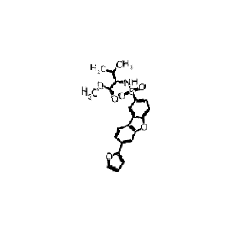 COC(=O)C(NS(=O)(=O)c1ccc2oc3cc(-c4ccco4)ccc3c2c1)C(C)C